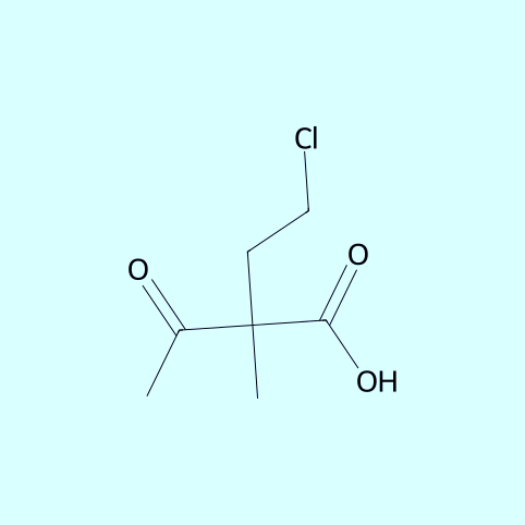 CC(=O)C(C)(CCCl)C(=O)O